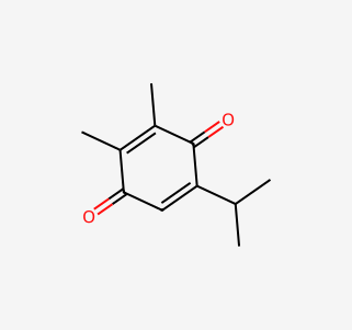 CC1=C(C)C(=O)C(C(C)C)=CC1=O